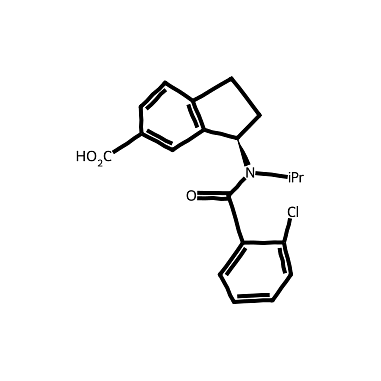 CC(C)N(C(=O)c1ccccc1Cl)[C@@H]1CCc2ccc(C(=O)O)cc21